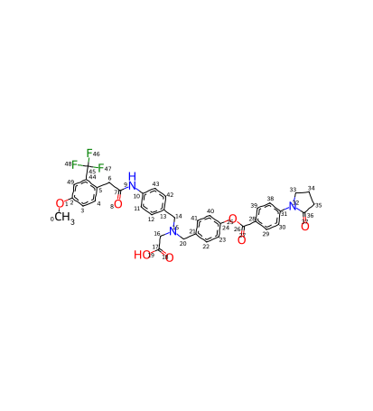 COc1ccc(CC(=O)Nc2ccc(CN(CC(=O)O)Cc3ccc(OC(=O)c4ccc(N5CCCC5=O)cc4)cc3)cc2)c(C(F)(F)F)c1